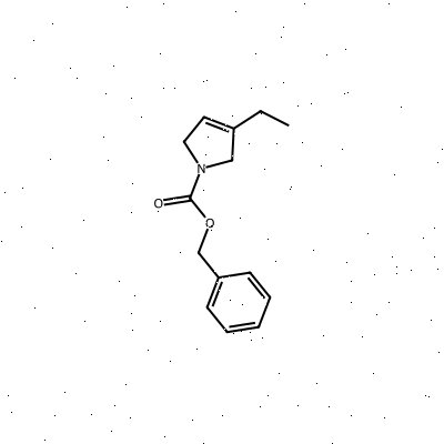 CCC1=CCN(C(=O)OCc2ccccc2)C1